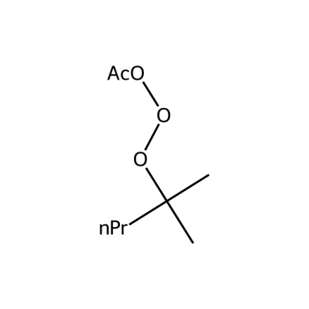 CCCC(C)(C)OOOC(C)=O